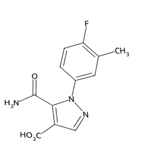 Cc1cc(-n2ncc(C(=O)O)c2C(N)=O)ccc1F